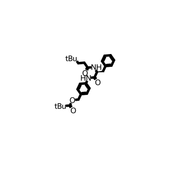 CC(C)(C)CCC(=O)N[C@@H](Cc1ccccc1)C(=O)Nc1ccc(COC(=O)C(C)(C)C)cc1